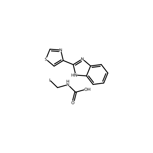 O=C(O)NCI.c1ccc2[nH]c(-c3cscn3)nc2c1